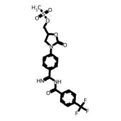 CS(=O)(=O)OCC1CN(c2ccc(C(=N)NC(=O)c3ccc(C(F)(F)F)cc3)cc2)C(=O)O1